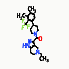 CCN1CCc2[nH]nc(C(=O)N3CCC(c4ccc(C)c(C)c4C(F)(F)F)CC3)c2C1